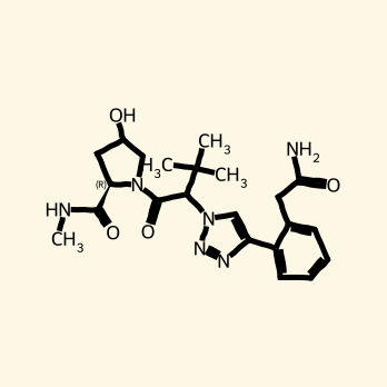 CNC(=O)[C@H]1CC(O)CN1C(=O)C(n1cc(-c2ccccc2CC(N)=O)nn1)C(C)(C)C